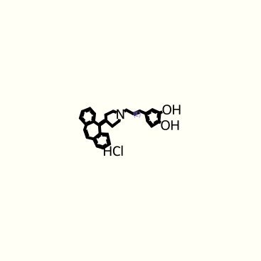 Cl.Oc1ccc(/C=C/CN2CCC(=C3c4ccccc4C=Cc4ccccc43)CC2)cc1O